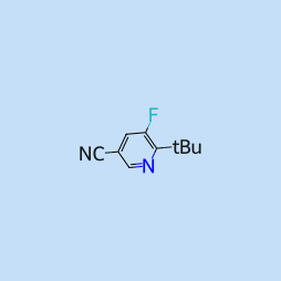 CC(C)(C)c1ncc(C#N)cc1F